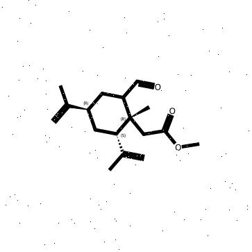 C=C(C)[C@H]1CC(C=O)[C@](C)(CC(=O)OC)[C@H](C(=C)C)C1